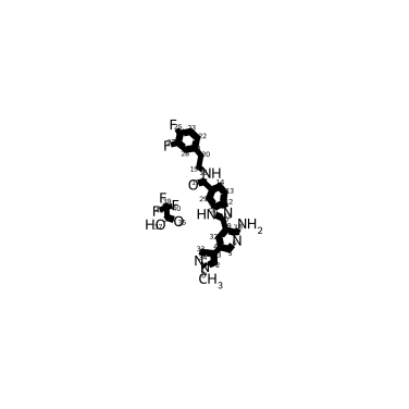 Cn1cc(-c2cnc(N)c(-c3nc4ccc(C(=O)NCCc5ccc(F)c(F)c5)cc4[nH]3)c2)cn1.O=C(O)C(F)(F)F